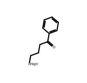 CCCCCCCCCCC(=O)c1[c]cccc1